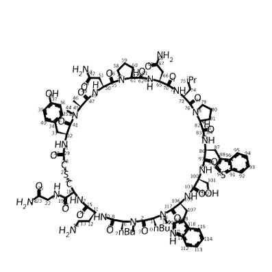 CCCC[C@H]1C(=O)N(C)[C@@H](CCCC)C(=O)N[C@@H](CCN)C(=O)NC(C(=O)NCC(N)=O)CSCC(=O)N[C@@H](Cc2ccc(O)cc2)C(=O)N(C)[C@@H](C)C(=O)N[C@@H](CC(N)=O)C(=O)N2CCC[C@H]2C(=O)N[C@@H](CC(N)=O)C(=O)N[C@@H](CC(C)C)C(=O)N2CCC[C@H]2C(=O)N[C@@H](Cc2csc3ccccc23)C(=O)N[C@@H](CO)C(=O)N[C@@H](Cc2c[nH]c3ccccc23)C(=O)N1C